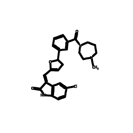 CN1CCCN(C(=O)c2cccc(C3CC=C(/C=C4/C(=O)Nc5ccc(Cl)cc54)O3)c2)CC1